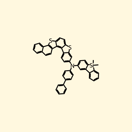 C[Si]1(C)c2ccccc2-c2cc(N(c3ccc(-c4ccccc4)cc3)c3ccc4c(c3)sc3ccc5sc6c7ccccc7ccc6c5c34)ccc21